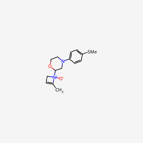 CSc1ccc(N2CCOC([N+]3([O-])CC=C3C)C2)cc1